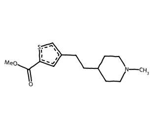 COC(=O)c1cc(CCC2CCN(C)CC2)cs1